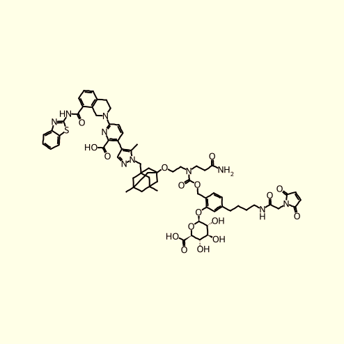 Cc1c(-c2ccc(N3CCc4cccc(C(=O)Nc5nc6ccccc6s5)c4C3)nc2C(=O)O)cnn1CC12CC3(C)CC(C)(C1)CC(OCCN(CCC(N)=O)C(=O)OCc1ccc(CCCCNC(=O)CN4C(=O)C=CC4=O)cc1O[C@@H]1O[C@H](C(=O)O)[C@@H](O)[C@H](O)[C@H]1O)(C3)C2